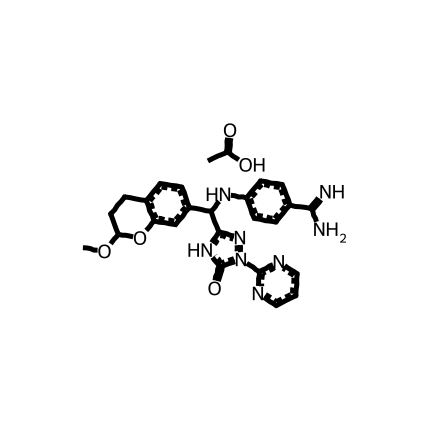 CC(=O)O.COC1CCc2ccc(C(Nc3ccc(C(=N)N)cc3)c3nn(-c4ncccn4)c(=O)[nH]3)cc2O1